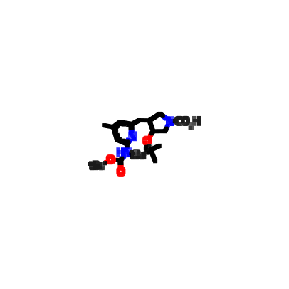 Cc1cc(CC2CN(C(=O)O)CC2O[Si](C)(C)C(C)(C)C)nc(NC(=O)OC(C)(C)C)c1